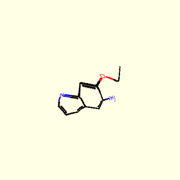 CCOc1cc2ncccc2cc1N